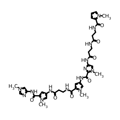 Cn1cnc(NC(=O)c2cc(NC(=O)CCNC(=O)c3cc(NC(=O)c4nc(NC(=O)CCNC(=O)CCNC(=O)c5cccn5C)cn4C)cn3C)cn2C)c1